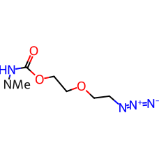 CNNC(=O)OCCOCCN=[N+]=[N-]